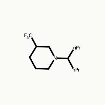 CCCC(CCC)N1CCCC(C(F)(F)F)C1